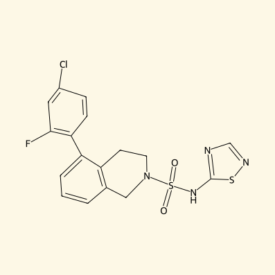 O=S(=O)(Nc1ncns1)N1CCc2c(cccc2-c2ccc(Cl)cc2F)C1